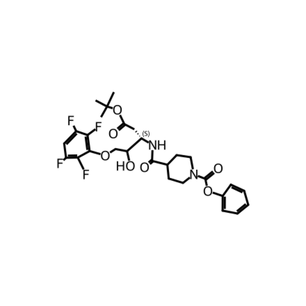 CC(C)(C)OC(=O)C[C@H](NC(=O)C1CCN(C(=O)Oc2ccccc2)CC1)C(O)COc1c(F)c(F)cc(F)c1F